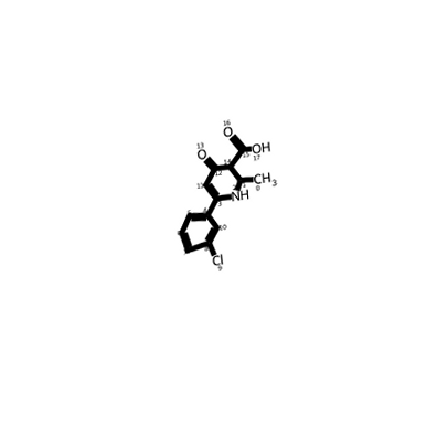 CC1NC(c2cccc(Cl)c2)=CC(=O)C1C(=O)O